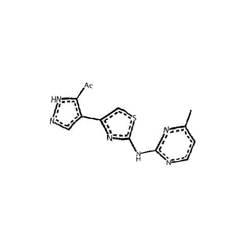 CC(=O)c1[nH]ncc1-c1csc(Nc2nccc(C)n2)n1